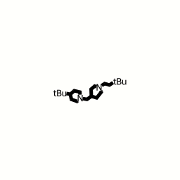 CC(C)(C)CCN1CCC(CN2CCC(C(C)(C)C)CC2)CC1